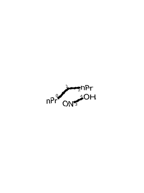 CCCCCCC.O=NO